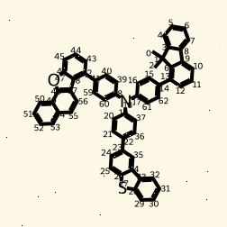 CC1(C)c2ccccc2-c2cccc(-c3ccc(N(c4ccc(-c5ccc6sc7ccccc7c6c5)cc4)c4ccc(-c5cccc6oc7c8ccccc8ccc7c56)cc4)cc3)c21